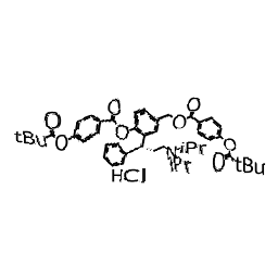 CC(C)N(CC[C@H](c1ccccc1)c1cc(COC(=O)c2ccc(OC(=O)C(C)(C)C)cc2)ccc1OC(=O)c1ccc(OC(=O)C(C)(C)C)cc1)C(C)C.Cl